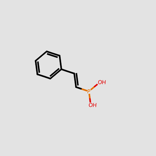 OP(O)/C=C/c1ccccc1